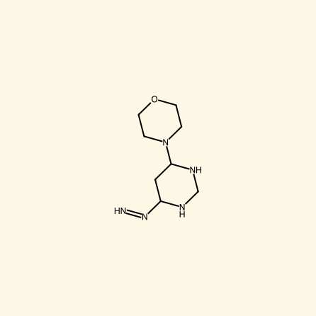 N=NC1CC(N2CCOCC2)NCN1